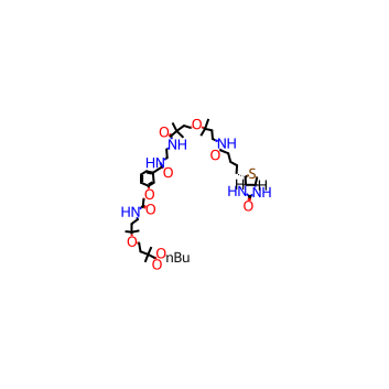 CCCCOC(=O)C(C)(C)CCOC(C)(C)CCNC(=O)COc1cccc(C(=O)NCCNC(=O)C(C)(C)CCOC(C)(C)CCNC(=O)CCCC[C@@H]2SC[C@@H]3NC(=O)N[C@@H]32)c1